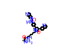 C[C@H](N)C(=O)NCCCCCCN1N=C(c2ccc(NC(=O)N3Cc4ccncc4C3)cc2)CC(c2ccc3cccnc3c2)C1=O